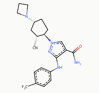 N#C[C@@H]1C[C@H](N2CCC2)CC[C@H]1n1cc(C(N)=O)c(Nc2ccc(C(F)(F)F)cc2)n1